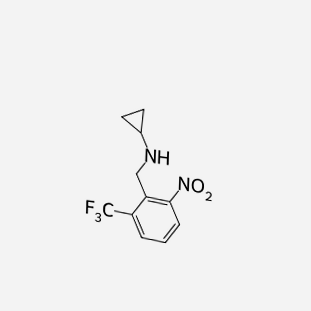 O=[N+]([O-])c1cccc(C(F)(F)F)c1CNC1CC1